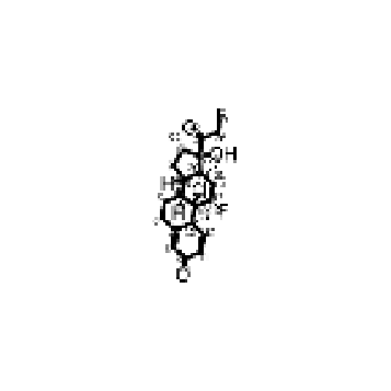 C[C@H]1C[C@H]2[C@@H]3CCC4=CC(=O)C=C[C@]4(C)[C@@]3(Cl)[C@@H](F)C[C@]2(C)[C@@]1(O)C(=O)CF